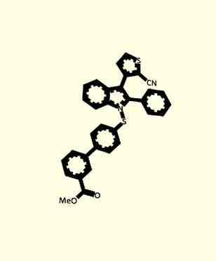 COC(=O)c1cccc(-c2ccc(Sn3c(-c4ccccc4)c(-c4ccsc4C#N)c4ccccc43)cc2)c1